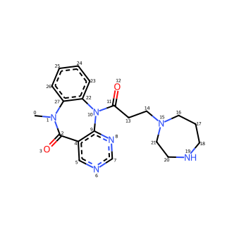 CN1C(=O)c2cncnc2N(C(=O)CCN2CCCNCC2)c2ccccc21